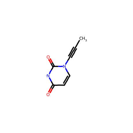 CC#CN1C=CC(=O)[N]C1=O